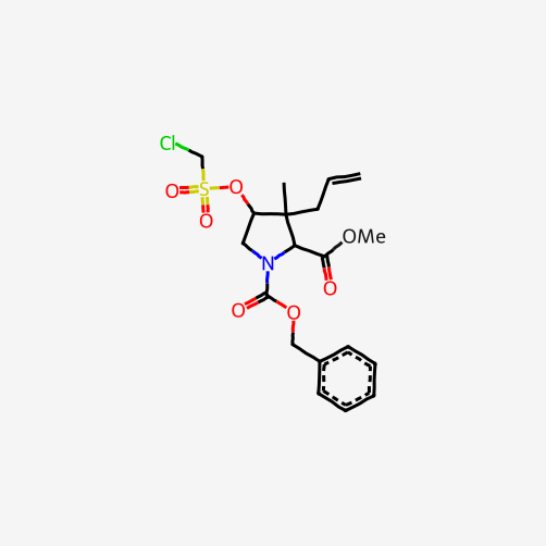 C=CCC1(C)C(OS(=O)(=O)CCl)CN(C(=O)OCc2ccccc2)C1C(=O)OC